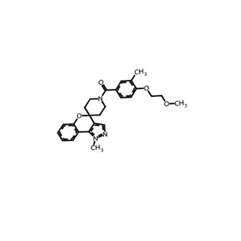 COCCOc1ccc(C(=O)N2CCC3(CC2)Oc2ccccc2-c2c3cnn2C)cc1C